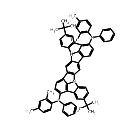 Cc1ccc(N(c2ccccc2)c2ccc3c4cc5c(cc4n4c6ccc(C(C)(C)C)cc6c2c34)c2ccc(N(c3ccccc3)c3ccc(C)cc3C)c3c4cc(C(C)(C)C)ccc4n5c23)c(C)c1